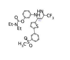 CCN(CC)C(=O)Oc1cccc(N/C(=C\C(=N)C(F)(F)F)c2ccc(-c3cccc(S(C)(=O)=O)c3)s2)c1